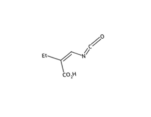 CCC(=CN=C=O)C(=O)O